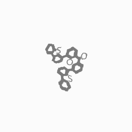 O=c1c2cccc(-c3cccc4c3sc3ccccc34)c2oc2c(-c3cccc4c3sc3ccccc34)cccc12